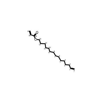 C=CCCCCCCCCCCCCCOC(=O)C=C